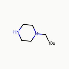 CC(C)(C)CN1CCNCC1